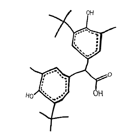 Cc1cc(C(C(=O)O)c2cc(C)c(O)c(C(C)(C)C)c2)cc(C(C)(C)C)c1O